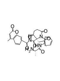 Cc1cc(=O)oc2cc(C(=O)NC(=O)[C@@]3(Cc4ccccc4)C(=O)CCC(=O)N3C(=O)[C@H](C)NC(=O)[C@H](C)N)ccc12